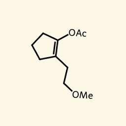 COCCC1=C(OC(C)=O)CCC1